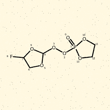 O=P1(OOC2OCC(F)O2)OCCO1